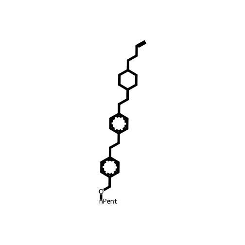 C=CCCC1CCC(CCc2ccc(CCc3ccc(COCCCCC)cc3)cc2)CC1